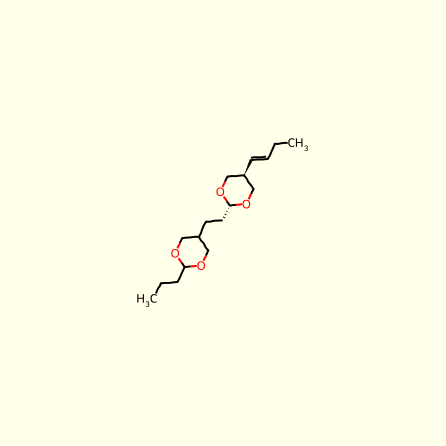 CC/C=C/[C@H]1CO[C@H](CCC2COC(CCC)OC2)OC1